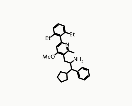 CCc1cccc(CC)c1-c1cc(OC)c(CC(N)C(c2ccccc2)C2CCCC2)c(C)n1